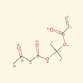 C=CC(=O)OC(C)(C)OC(=O)CC(C)=O